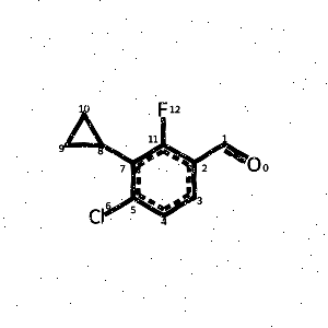 O=Cc1ccc(Cl)c(C2CC2)c1F